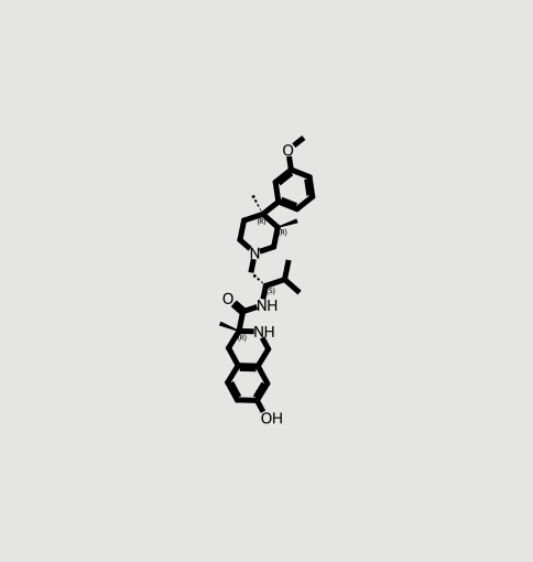 COc1cccc([C@]2(C)CCN(C[C@@H](NC(=O)[C@@]3(C)Cc4ccc(O)cc4CN3)C(C)C)C[C@@H]2C)c1